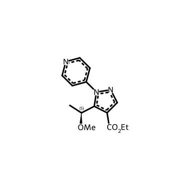 CCOC(=O)c1cnn(-c2ccncc2)c1[C@H](C)OC